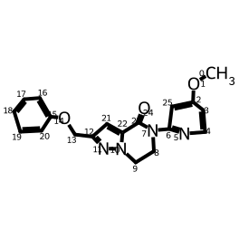 COc1ccnc(N2CCn3nc(COc4ccccc4)cc3C2=O)c1